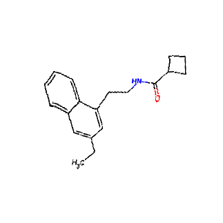 CCc1cc(CCNC(=O)C2CCC2)c2ccccc2c1